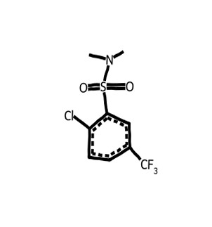 CN(C)S(=O)(=O)c1cc(C(F)(F)F)ccc1Cl